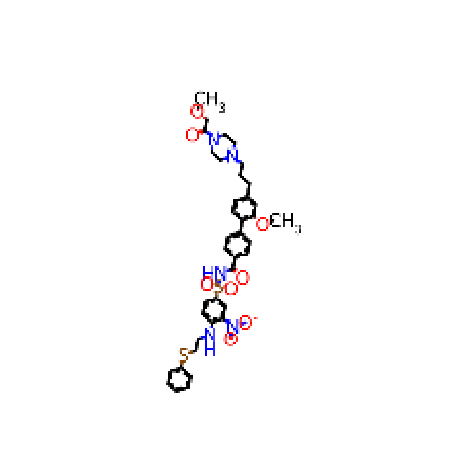 COCC(=O)N1CCN(CCCc2ccc(-c3ccc(C(=O)NS(=O)(=O)c4ccc(NCCSc5ccccc5)c([N+](=O)[O-])c4)cc3)c(OC)c2)CC1